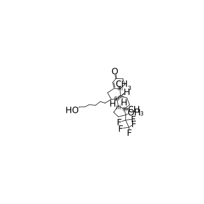 C[C@]12CCC(=O)C=C1CC(CCCCCCO)[C@@H]1[C@H]2CC[C@@]2(C)[C@H]1CCC2(O)C(F)(F)C(F)(F)F